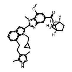 COc1cc(C(=O)N2C[C@H]3CC[C@@H]2[C@@H]3N)cc2nc(-c3cc4cccc(CCc5c(C)n[nH]c5C)c4n3CC3CC3)n(C)c12